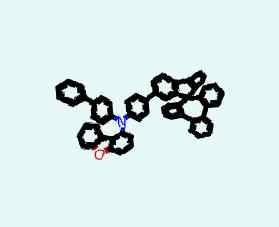 c1ccc(-c2ccc(N(c3ccc(-c4ccc5c(c4)C4(c6ccccc6-c6ccccc6-c6ccccc64)c4ccccc4-5)cc3)c3cccc4oc5ccccc5c34)cc2)cc1